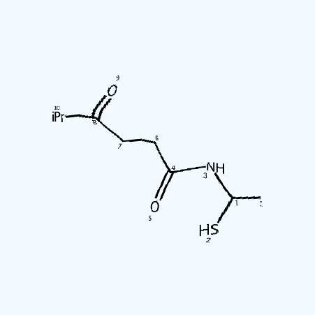 CC(S)NC(=O)CCC(=O)C(C)C